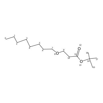 CCCCCCCCOCCC(=O)OC(C)(C)C